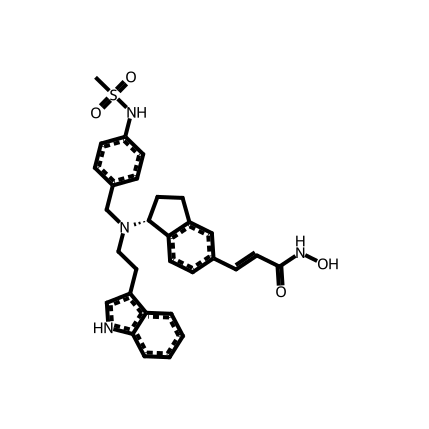 CS(=O)(=O)Nc1ccc(CN(CCc2c[nH]c3ccccc23)[C@@H]2CCc3cc(C=CC(=O)NO)ccc32)cc1